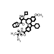 COc1ccc2c(c1)C=C(c1c(C(=O)N3CC4CCC(C3)O4)cnn1C1CCC1)Cn1c-2c(C2CCCCC2)c2ccc(C(=O)NS(=O)(=O)C(C)C)cc21